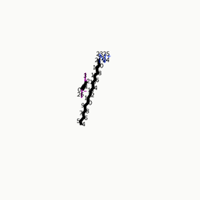 C#CCI.CCCCCCCCCCCCCCCCCC[N+](C)(C)C.[I-]